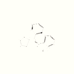 CC(C)c1cccc(C(C)C)c1/N=[PH](\c1ccccc1)C1CCCC1